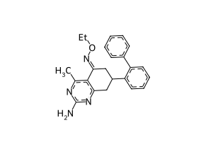 CCO/N=C1\CC(c2ccccc2-c2ccccc2)Cc2nc(N)nc(C)c21